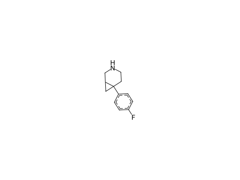 Fc1ccc(C23CCNCC2C3)cc1